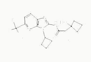 C[C@H](C(=O)Nc1nc2ccc(C(F)(F)F)nc2n1C1CCC1)C1(O)CCC1